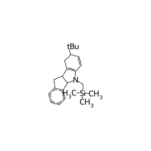 CC(C)(C)C1C=CC2=C(C1)C1Cc3ccccc3C1N2C[Si](C)(C)C